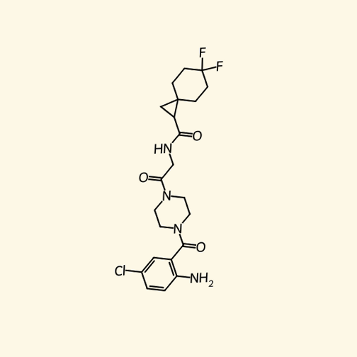 Nc1ccc(Cl)cc1C(=O)N1CCN(C(=O)CNC(=O)C2CC23CCC(F)(F)CC3)CC1